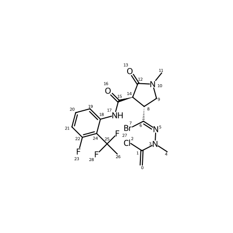 C=C(Cl)N(C)/N=C(\Br)[C@H]1CN(C)C(=O)[C@@H]1C(=O)Nc1cccc(F)c1C(C)(F)F